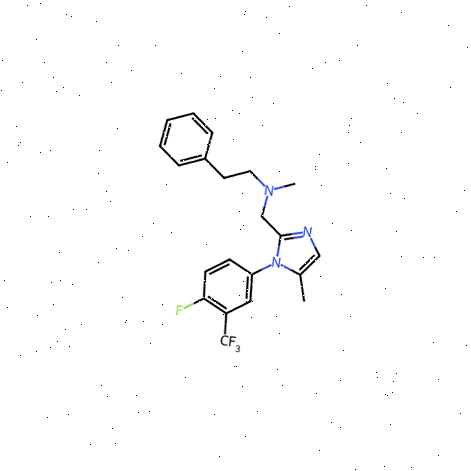 Cc1cnc(CN(C)CCc2ccccc2)n1-c1ccc(F)c(C(F)(F)F)c1